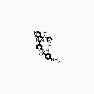 Nc1ccc(C(=O)Nc2cc(-c3nc(N[C@@H]4CCNC4)c4ccncc4n3)ccn2)cc1